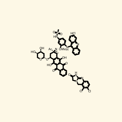 CC(=O)[C@]1(N)Cc2c(O)c3c(c(O)c2[C@@H](O[C@H]2C[C@H](O)[C@H](O)CO2)C1)C(=O)c1ccccc1C3=O.COc1cc(NS(C)(=O)=O)ccc1Nc1c2ccccc2nc2ccccc12.Cl.O=C1CN2Cc3c(ccc(Cl)c3Cl)N=C2N1